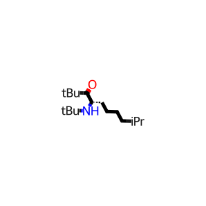 CC(C)CCCC[C@H](NC(C)(C)C)C(=O)C(C)(C)C